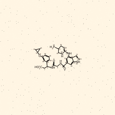 O=C(O)CC(NC(=O)CNC(=O)c1cc(NC2=NCC(P)CN2)c2cn[nH]c2c1)c1cccc(OC2CC2)c1